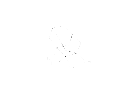 CC12CC3CC(C1)CC(O)(C3)C2(C)O